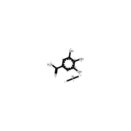 I[IH]I.NC(=O)c1cc(O)c(O)c(O)c1